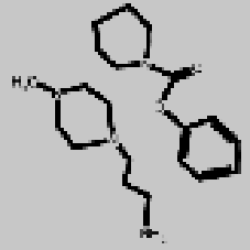 CN1CCN(CCCN)CC1.O=C(Oc1ccccc1)N1CCCCC1